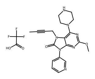 CC#CCn1c(=O)n(-c2cccnc2)c2nc(OC)nc(N3CCNCC3)c21.O=C(O)C(F)(F)F